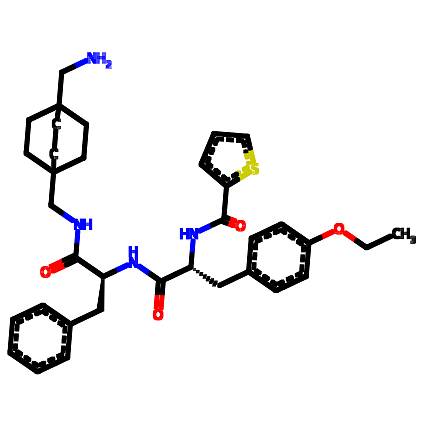 CCOc1ccc(C[C@@H](NC(=O)c2cccs2)C(=O)N[C@@H](Cc2ccccc2)C(=O)NCC23CCC(CN)(CC2)CC3)cc1